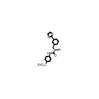 CCOC(=O)c1ccc(NC(=O)N(Cc2cccc(-c3nccs3)c2)C(C)C)cc1